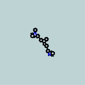 CN1c2ccc(-c3ccc4c(c3)Cc3c-4c4ccccc4c4cc(-c5ccc6c(c5)C5(C)CCCC(C)(C)C5(C)N6c5ccccc5)ccc34)cc2C2(C)CCCC(C)(C)C12C